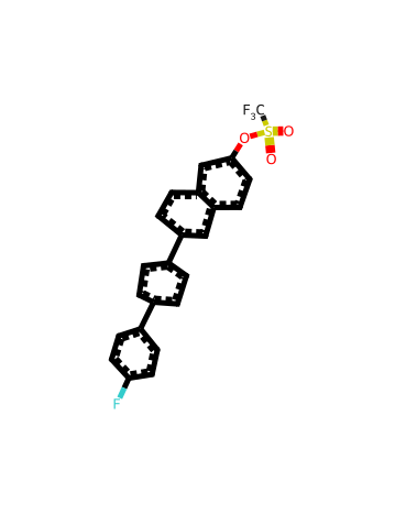 O=S(=O)(Oc1ccc2cc(-c3ccc(-c4ccc(F)cc4)cc3)ccc2c1)C(F)(F)F